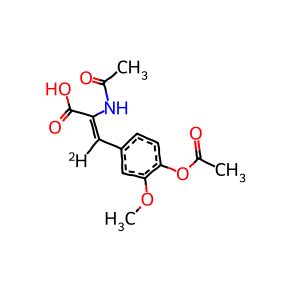 [2H]/C(=C(/NC(C)=O)C(=O)O)c1ccc(OC(C)=O)c(OC)c1